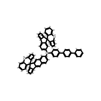 c1ccc(-c2ccc(-c3ccc(N(c4ccc5c(c4)C4(c6ccccc6Oc6ccccc64)c4ccccc4-5)c4ccc5cc6c(cc5c4)C4(c5ccccc5Oc5ccccc54)c4ccccc4-6)cc3)cc2)cc1